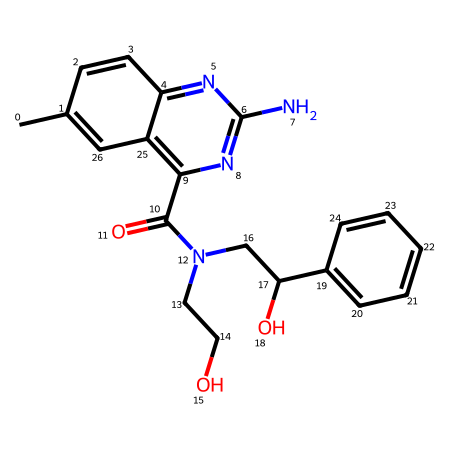 Cc1ccc2nc(N)nc(C(=O)N(CCO)CC(O)c3ccccc3)c2c1